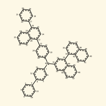 c1ccc(-c2ccc(N(c3ccc(-c4ccc(-c5ccccc5)c5ccccc45)cc3)c3cc(-c4cccc5ccccc45)c4ccccc4c3)cc2)cc1